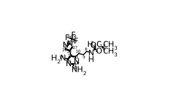 CC(C)(C)OC(=O)NCCCc1nc(N)nc(N)c1-c1cnn(C(F)(F)F)c1